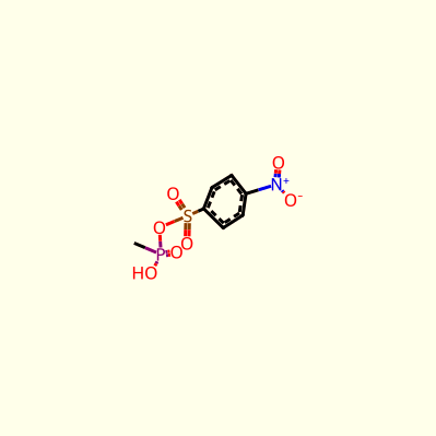 CP(=O)(O)OS(=O)(=O)c1ccc([N+](=O)[O-])cc1